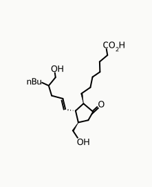 CCCCC(CO)C/C=C/[C@H]1[C@H](CO)CC(=O)[C@@H]1CCCCCCC(=O)O